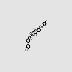 COC(=O)C(Cc1ccc(OCc2ccc(C)cc2)cc1)NC(=O)c1cc2ccc(-c3ccc(Cl)cc3)cc2o1